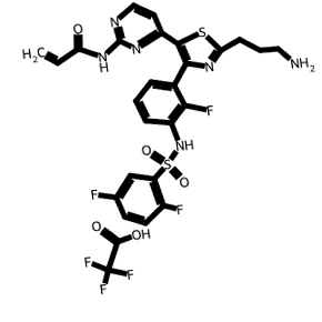 C=CC(=O)Nc1nccc(-c2sc(CCCN)nc2-c2cccc(NS(=O)(=O)c3cc(F)ccc3F)c2F)n1.O=C(O)C(F)(F)F